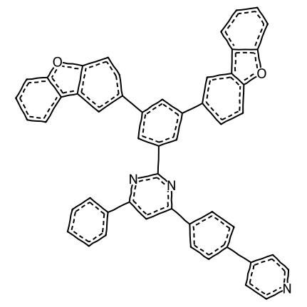 c1ccc(-c2cc(-c3ccc(-c4ccncc4)cc3)nc(-c3cc(-c4ccc5oc6ccccc6c5c4)cc(-c4ccc5oc6ccccc6c5c4)c3)n2)cc1